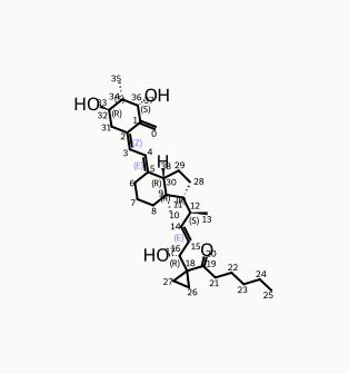 C=C1/C(=C\C=C2/CCC[C@]3(C)[C@@H]([C@@H](C)/C=C/[C@@H](O)C4(C(=O)CCCCC)CC4)CC[C@@H]23)C[C@@H](O)[C@H](C)[C@@H]1O